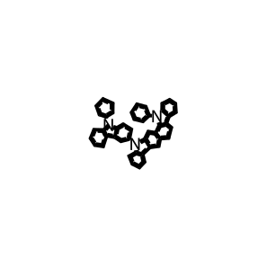 c1ccc(-n2c3ccccc3c3cc(-n4c5ccccc5c5cc6ccc7c8ccccc8n(-c8ccccc8)c7c6cc54)ccc32)cc1